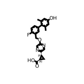 Cc1cc(O)cc(C)c1-c1ccc(F)c(COc2cnc([C@@H]3C[C@H]3C(=O)O)cn2)c1